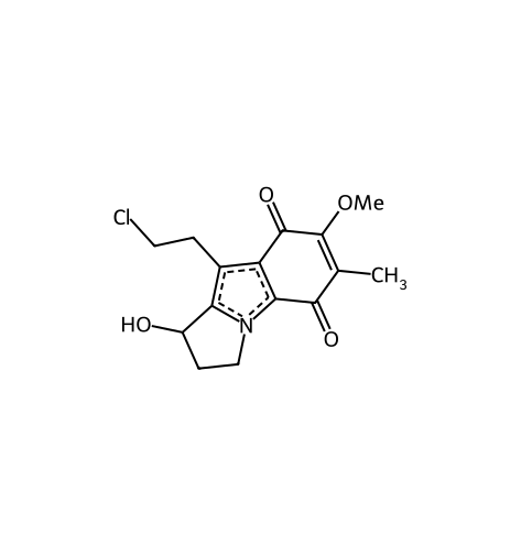 COC1=C(C)C(=O)c2c(c(CCCl)c3n2CCC3O)C1=O